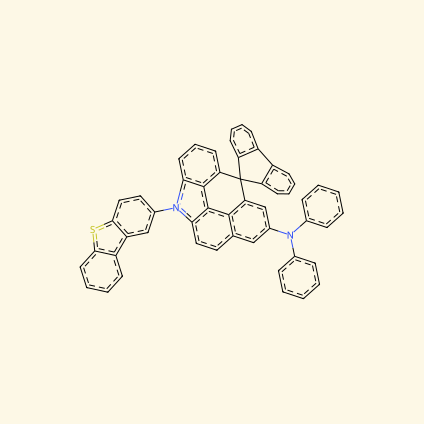 c1ccc(N(c2ccccc2)c2cc3c4c(ccc5c4c4c(cccc4n5-c4ccc5sc6ccccc6c5c4)C34c3ccccc3-c3ccccc34)c2)cc1